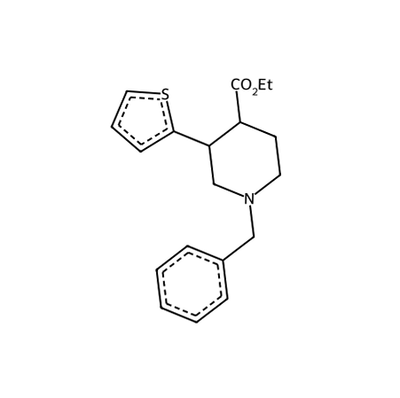 CCOC(=O)C1CCN(Cc2ccccc2)CC1c1cccs1